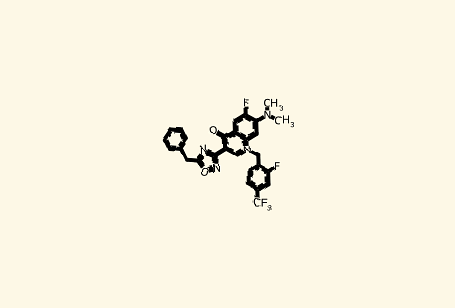 CN(C)c1cc2c(cc1F)c(=O)c(-c1noc(Cc3ccccc3)n1)cn2Cc1ccc(C(F)(F)F)cc1F